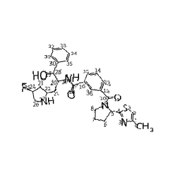 Cc1csc([C@H]2CCCN2C(=O)c2cccc(C(=O)N[C@@H](C[C@@H]3C[C@H](F)CN3)C(O)c3ccccc3)c2)n1